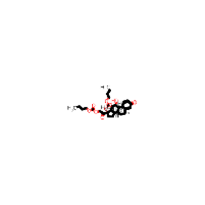 CCCCOC(=O)OCC(=O)[C@@]1(OC(=O)OCCCC)CC[C@H]2[C@@H]3CCC4=CC(=O)C=C[C@]4(C)[C@H]3C(O)C[C@@]21C